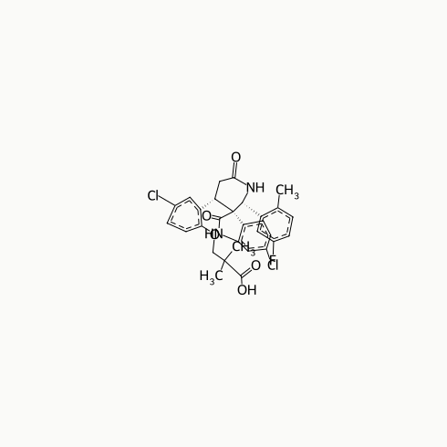 Cc1ccc(F)cc1[C@H]1NC(=O)C[C@@H](c2cc(Cl)ccc2OCC(C)(C)C(=O)O)[C@]12C(=O)Nc1cc(Cl)ccc12